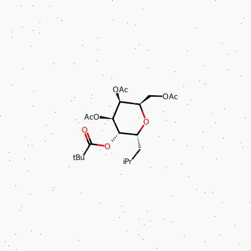 CC(=O)OC[C@H]1O[C@H](CC(C)C)[C@H](OC(=O)C(C)(C)C)[C@@H](OC(C)=O)[C@H]1OC(C)=O